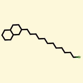 BrCCCCCCCCCCCCC1CCC2CCCCC2C1